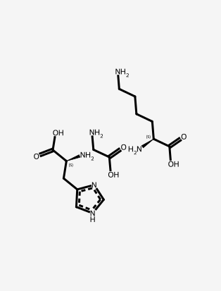 NCC(=O)O.NCCCC[C@H](N)C(=O)O.N[C@@H](Cc1c[nH]cn1)C(=O)O